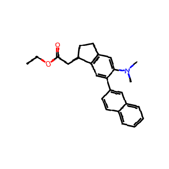 CCOC(=O)CC1CCc2cc(N(C)C)c(-c3ccc4ccccc4c3)cc21